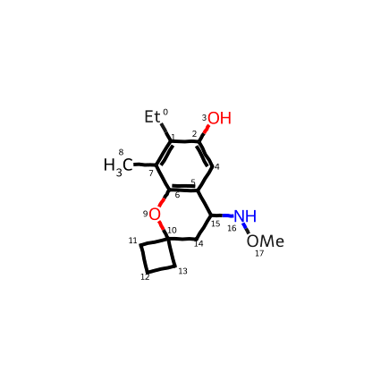 CCc1c(O)cc2c(c1C)OC1(CCC1)CC2NOC